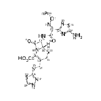 CCCON=C(C(=O)NC1C(=O)N2C(C(=O)O)=C(CSc3nncs3)CS[C@@H]12)c1nsc(N)n1